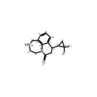 O=C1CC(C2CC2(F)F)c2cccc3c2N1CCNC3